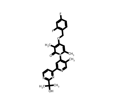 Cc1cnc(-c2ccnc(C(C)(C)O)n2)cc1-n1c(C)cc(OCc2ccc(F)cc2F)c(C)c1=O